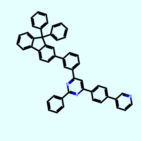 c1ccc(-c2nc(-c3ccc(-c4cccnc4)cc3)cc(-c3cccc(-c4ccc5c(c4)C(c4ccccc4)(c4ccccc4)c4ccccc4-5)c3)n2)cc1